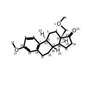 COC[C@]12CC[C@@H]3c4ccc(OC)cc4CC[C@H]3[C@@H]1CCC2=O